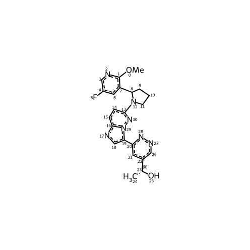 COc1ncc(F)cc1C1CCCN1c1ccc2ncc(-c3cc([C@@H](C)O)cnn3)n2n1